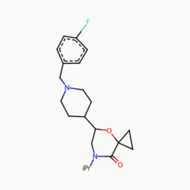 CC(C)N1CC(C2CCN(Cc3ccc(F)cc3)CC2)OC2(CC2)C1=O